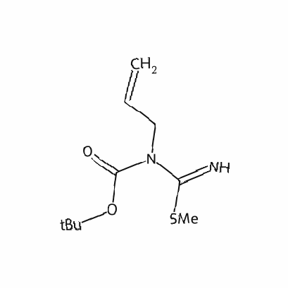 C=CCN(C(=N)SC)C(=O)OC(C)(C)C